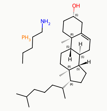 CC(C)CCCC(C)[C@H]1CC[C@H]2[C@@H]3CC=C4C[C@@H](O)CC[C@]4(C)[C@H]3CC[C@]12C.CCCCCN.P